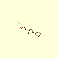 O=C(C=Cc1ccc(-c2ccccc2)cc1)N=C=S